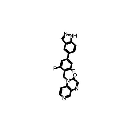 O=c1cnc2cnccc2n1Cc1c(F)cc(-c2ccc3[nH]ncc3c2)cc1F